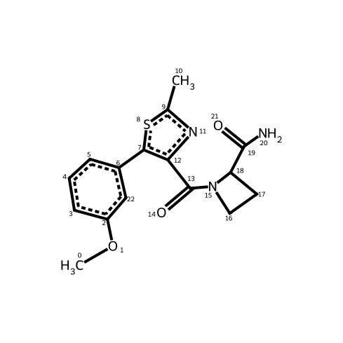 COc1cccc(-c2sc(C)nc2C(=O)N2CCC2C(N)=O)c1